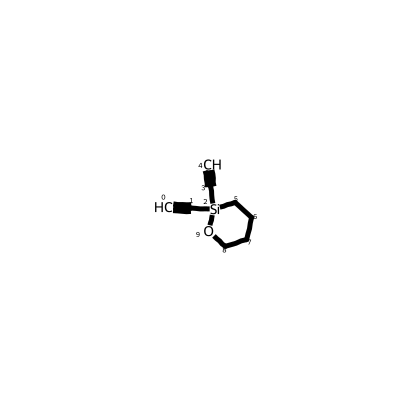 C#C[Si]1(C#C)CCCCO1